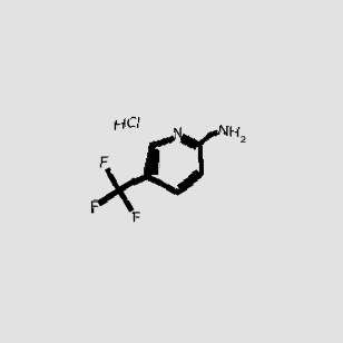 Cl.Nc1ccc(C(F)(F)F)cn1